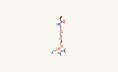 C=C(C)C(=O)NCCOCCOCCOP(OCCC)N(C(C)C)C(C)C